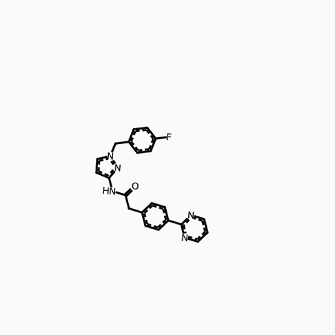 O=C(Cc1ccc(-c2ncccn2)cc1)Nc1ccn(Cc2ccc(F)cc2)n1